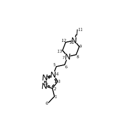 CCc1cn(CCN2CCN(I)CC2)nn1